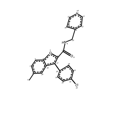 Cc1ccc2oc(C(=O)NCc3ccncc3)c(-c3ccc(Cl)cc3)c2c1